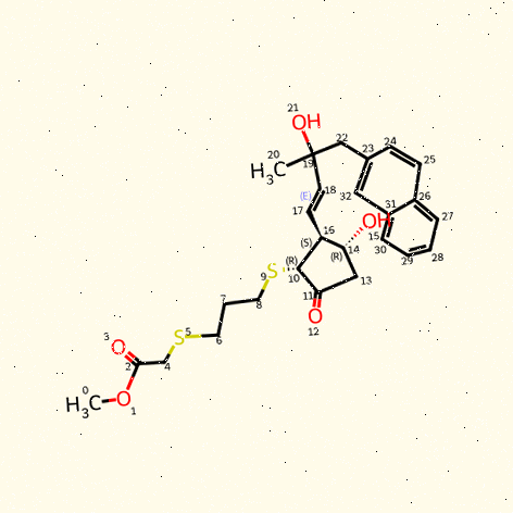 COC(=O)CSCCCS[C@H]1C(=O)C[C@@H](O)[C@@H]1/C=C/C(C)(O)Cc1ccc2ccccc2c1